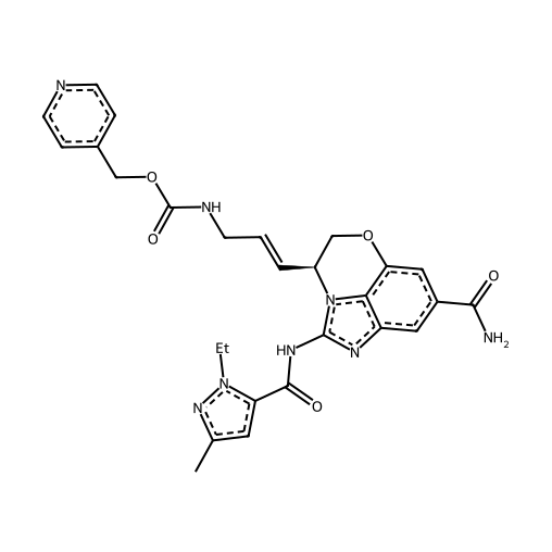 CCn1nc(C)cc1C(=O)Nc1nc2cc(C(N)=O)cc3c2n1[C@@H](/C=C/CNC(=O)OCc1ccncc1)CO3